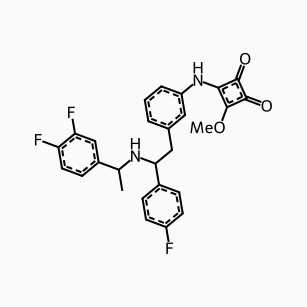 COc1c(Nc2cccc(CC(NC(C)c3ccc(F)c(F)c3)c3ccc(F)cc3)c2)c(=O)c1=O